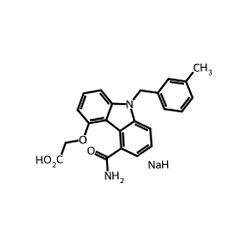 Cc1cccc(Cn2c3cccc(OCC(=O)O)c3c3c(C(N)=O)cccc32)c1.[NaH]